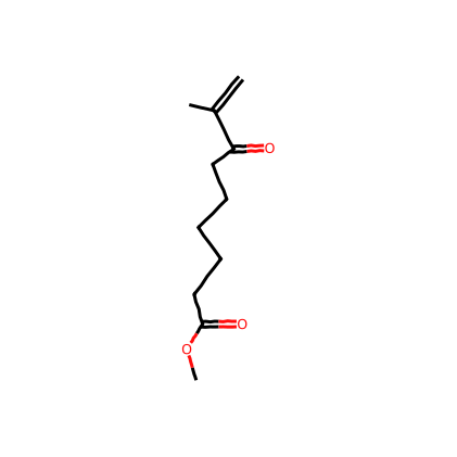 C=C(C)C(=O)CCCCCC(=O)OC